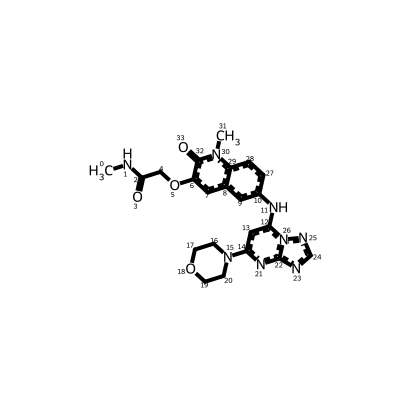 CNC(=O)COc1cc2cc(Nc3cc(N4CCOCC4)nc4ncnn34)ccc2n(C)c1=O